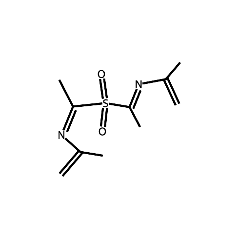 C=C(C)N=C(C)S(=O)(=O)C(C)=NC(=C)C